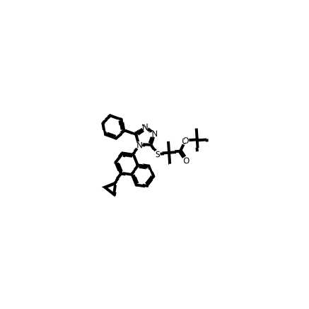 CC(C)(C)OC(=O)C(C)(C)Sc1nnc(C2=CCCC=C2)n1-c1ccc(C2CC2)c2ccccc12